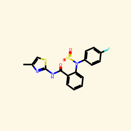 Cc1csc(NC(=O)c2ccccc2N(c2ccc(F)cc2)[SH](=O)=O)n1